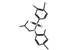 Cc1ccc(N(CC(C)C)S(=O)(=O)c2ccc(Br)c(F)c2)c(C)c1